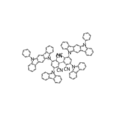 N#Cc1c(-n2c3ccccc3c3ccccc32)cc(-n2c3ccccc3c3cc4c(cc32)c2ccccc2n4-c2ccccc2)c(C#N)c1-c1c(C#N)c(-n2c3ccccc3c3ccccc32)cc(-n2c3ccccc3c3cc4c(cc32)c2ccccc2n4-c2ccccc2)c1C#N